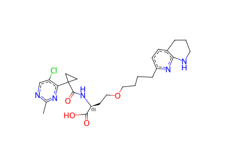 Cc1ncc(Cl)c(C2(C(=O)N[C@@H](CCOCCCCc3ccc4c(n3)NCCC4)C(=O)O)CC2)n1